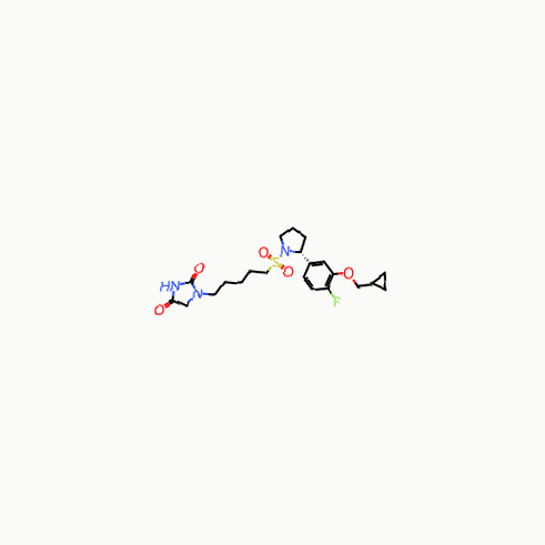 O=C1CN(CCCCCS(=O)(=O)N2CCC[C@@H]2c2ccc(F)c(OCC3CC3)c2)C(=O)N1